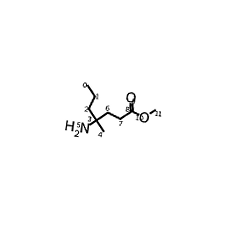 CCCC(C)(N)CCC(=O)OC